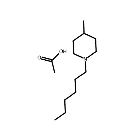 CC(=O)O.CCCCCCN1CCC(C)CC1